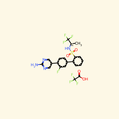 C[C@@H](NS(=O)(=O)c1ccccc1-c1ccc(-c2cnc(N)nc2)c(F)c1)C(F)(F)F.O=C(O)C(F)(F)F